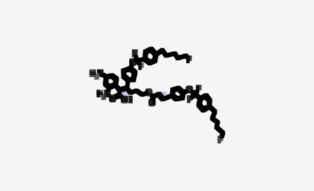 Nc1ccc(/C(C(=O)O)=C(/CCCOC(=O)/C=C/c2ccc(OC(F)(F)c3ccc(CCCCCF)cc3)cc2)c2ccc(OC(F)(F)c3ccc(CCCCCF)cc3)cc2)c(N)c1